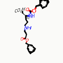 O=C(O)C[C@H](CCCNCCC(=O)OCc1ccccc1)NC(=O)OCc1ccccc1